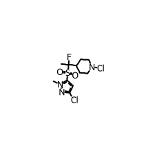 Cn1nc(Cl)cc1S(=O)(=O)C(C)(F)C1CCN(Cl)CC1